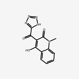 Cn1c(=O)c(C(=O)c2nnn[nH]2)c(O)c2ccccc21